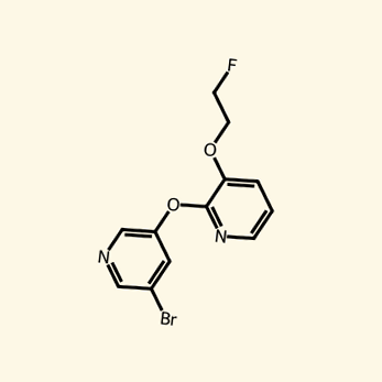 FCCOc1cccnc1Oc1cncc(Br)c1